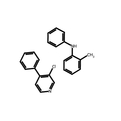 Cc1ccccc1Nc1ccccc1.Clc1cnccc1-c1ccccc1